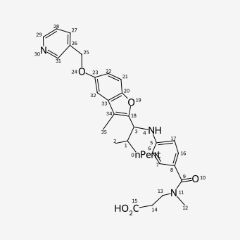 CCCCCC(C)C(Nc1ccc(C(=O)N(C)CCC(=O)O)cc1)c1oc2ccc(OCc3cccnc3)cc2c1C